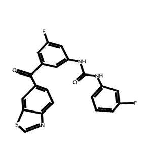 O=C(Nc1cccc(F)c1)Nc1cc(F)cc(C(=O)c2ccc3ncsc3c2)c1